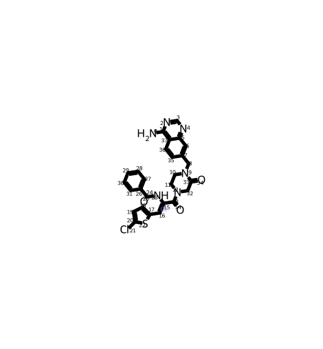 Nc1ncnc2cc(CN3CCN(C(=O)/C(=C/c4ccc(Cl)s4)NC(=O)c4ccccc4)CC3=O)ccc12